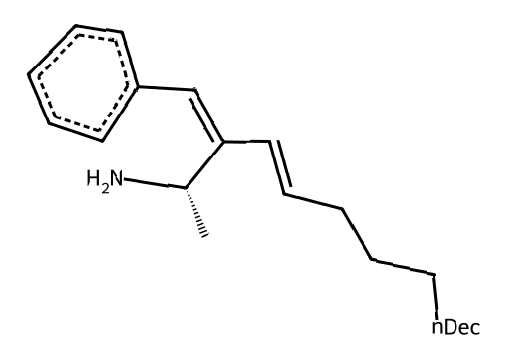 CCCCCCCCCCCCC/C=C/C(=Cc1ccccc1)[C@H](C)N